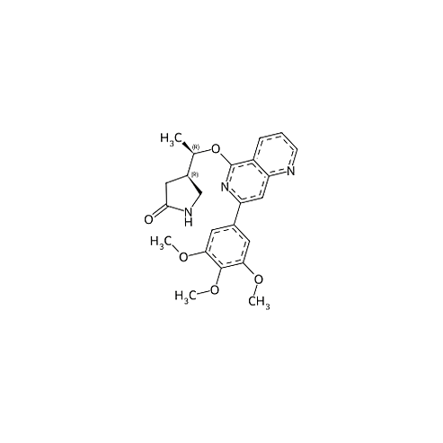 COc1cc(-c2cc3ncccc3c(O[C@H](C)[C@H]3CNC(=O)C3)n2)cc(OC)c1OC